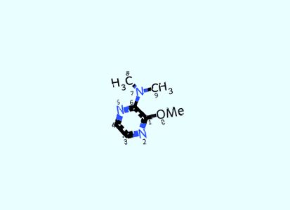 COc1n[c]cnc1N(C)C